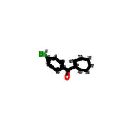 O=C(c1ccc(Br)cc1)C1CCCCCC1